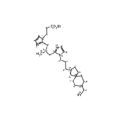 CCOC(=O)CCn1ccnc1CN(C)Cc1nccn1CCCN1CCC2(CCN(CC(C)C)CC2)C1